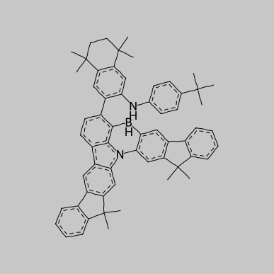 CC(C)(C)c1ccc(Nc2cc3c(cc2-c2ccc4c5cc6c(cc5n5c4c2Bc2cc4c(cc2-5)C(C)(C)c2ccccc2-4)C(C)(C)c2ccccc2-6)C(C)(C)CCC3(C)C)cc1